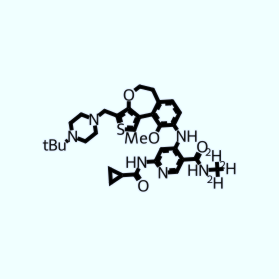 [2H]C([2H])([2H])NC(=O)c1cnc(NC(=O)C2CC2)cc1Nc1ccc2c(c1OC)-c1csc(CN3CCN(C(C)(C)C)CC3)c1OCC2